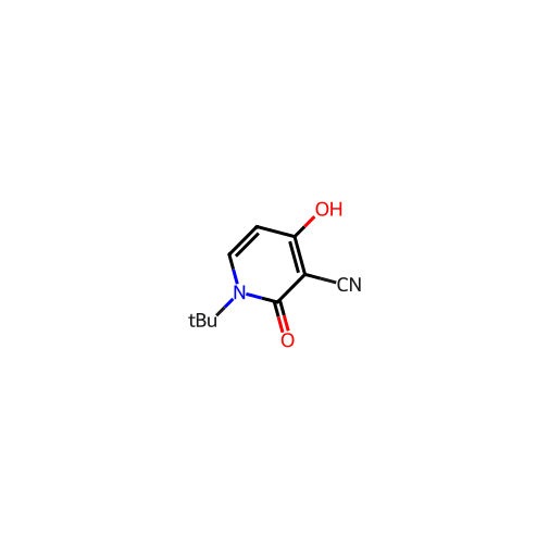 CC(C)(C)n1ccc(O)c(C#N)c1=O